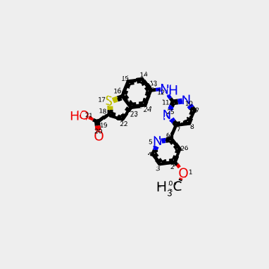 COc1ccnc(-c2ccnc(Nc3ccc4sc(C(=O)O)cc4c3)n2)c1